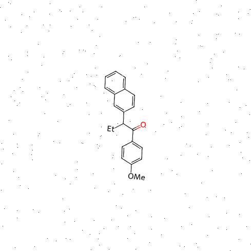 CCC(C(=O)c1ccc(OC)cc1)c1ccc2ccccc2c1